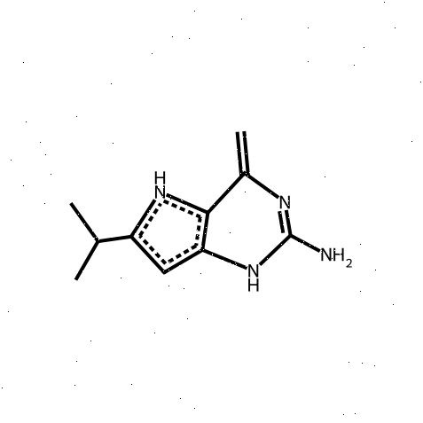 C=C1N=C(N)Nc2cc(C(C)C)[nH]c21